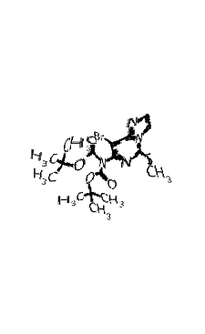 CSc1nc(N(C(=O)OC(C)(C)C)C(=O)OC(C)(C)C)c(Br)c2nccn12